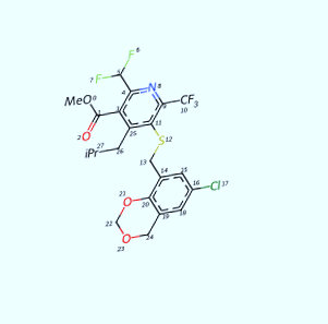 COC(=O)c1c(C(F)F)nc(C(F)(F)F)c(SCc2cc(Cl)cc3c2OCOC3)c1CC(C)C